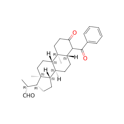 C[C@@H](C=O)[C@H]1CC[C@H]2[C@@H]3CC[C@H]4C(C(=O)c5ccccc5)C(=O)CC[C@]4(C)[C@H]3CC[C@]12C